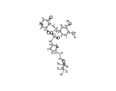 COc1ccc([C@H](Cc2c(Cl)cncc2Cl)OC(=O)Cc2ccc(CCO[Si](C)(C)C(C)(C)C)s2)cc1OC